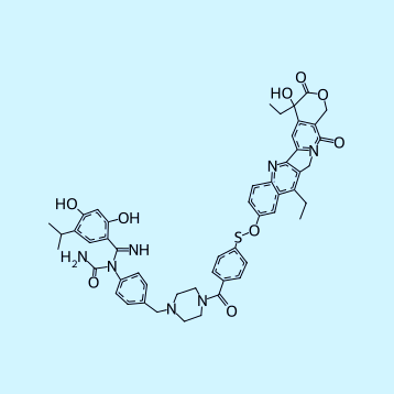 CCc1c2c(nc3ccc(OSc4ccc(C(=O)N5CCN(Cc6ccc(N(C(=N)c7cc(C(C)C)c(O)cc7O)C(N)=O)cc6)CC5)cc4)cc13)-c1cc3c(c(=O)n1C2)COC(=O)C3(O)CC